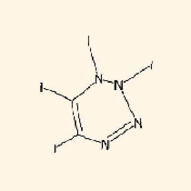 IC1=C(I)N(I)N(I)N=N1